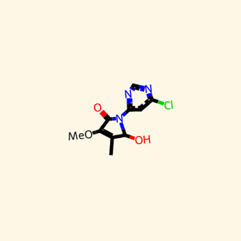 COC1=C(C)C(O)N(c2cc(Cl)ncn2)C1=O